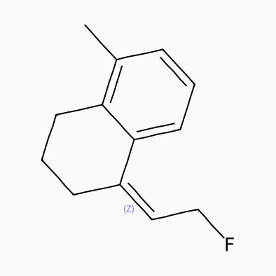 Cc1cccc2c1CCC/C2=C/CF